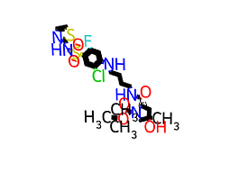 CC1(O)C[C@@H](C(=O)NCCCCNc2cc(F)c(S(=O)(=O)Nc3nccs3)cc2Cl)N(C(=O)OC(C)(C)C)C1